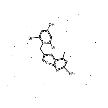 CCCc1cc(C)c2cc(Cc3c(Br)cc(O)cc3Br)ccc2n1